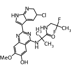 COc1cc2nc(-c3c[nH]c4c3=CC(Cl)CN=4)nc(NC(C)(C)C(=O)NCC(C)(F)F)c2cc1O